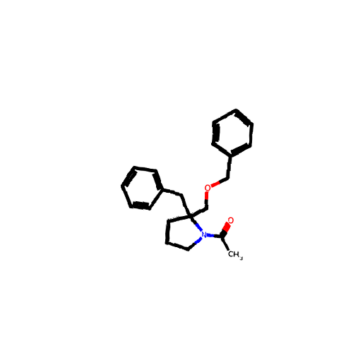 CC(=O)N1CCCC1(COCc1ccccc1)Cc1ccccc1